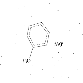 Oc1ccccc1.[Mg]